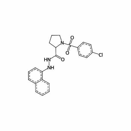 O=C(NNc1cccc2ccccc12)C1CCCN1S(=O)(=O)c1ccc(Cl)cc1